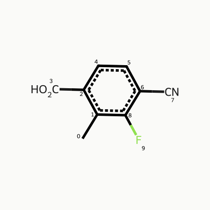 Cc1c(C(=O)O)ccc(C#N)c1F